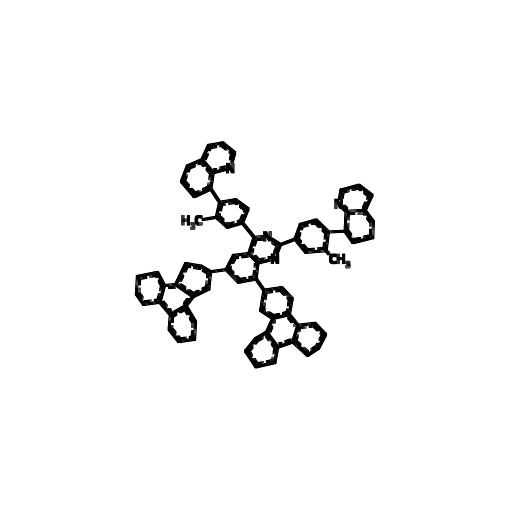 Cc1cc(-c2nc(-c3ccc(-c4cccc5cccnc45)c(C)c3)c3cc(-c4ccc5c6ccccc6c6ccccc6c5c4)cc(-c4ccc5c6ccccc6c6ccccc6c5c4)c3n2)ccc1-c1cccc2cccnc12